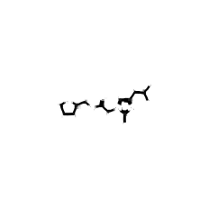 Cc1nc(CC(C)C)cn1CC(=O)NCC1CCCO1